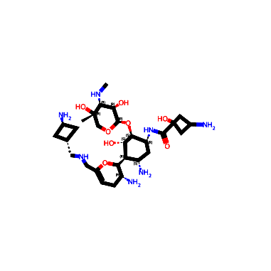 CN[C@@H]1[C@@H](O)[C@@H](O[C@@H]2[C@@H](O)[C@H](C3OC(CNC[C@H]4C[C@H](N)C4)=CC[C@H]3N)[C@@H](N)C[C@H]2NC(=O)C2(O)CC(N)C2)OC[C@]1(C)O